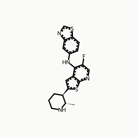 C[C@@H]1NCCC[C@H]1c1cc2c(Nc3ccc4scnc4c3)c(F)cnc2s1